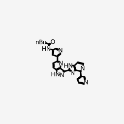 CCCCC(=O)Nc1cncc(-c2ccc3[nH]nc(-c4nc5c(-c6cccnc6)nccc5[nH]4)c3n2)c1